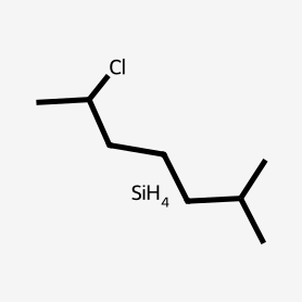 CC(C)CCCC(C)Cl.[SiH4]